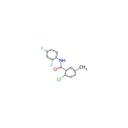 Cc1ccc(Cl)c(C(=O)Nc2ccc(F)cc2F)c1